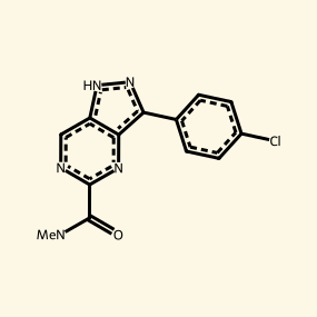 CNC(=O)c1ncc2[nH]nc(-c3ccc(Cl)cc3)c2n1